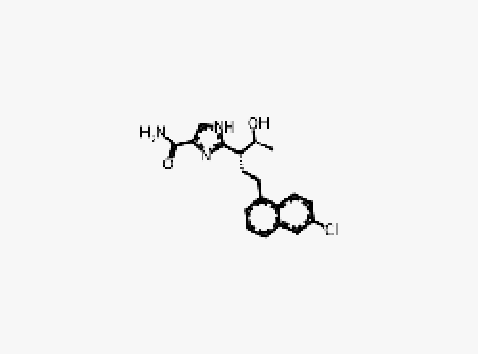 C[C@H](O)[C@H](CCc1cccc2cc(Cl)ccc12)c1nc(C(N)=O)c[nH]1